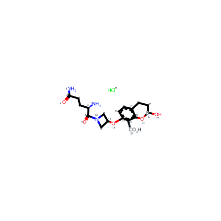 Cl.NC(=O)CC[C@@H](N)C(=O)N1CC(Oc2ccc3c(c2C(=O)O)OB(O)CC3)C1